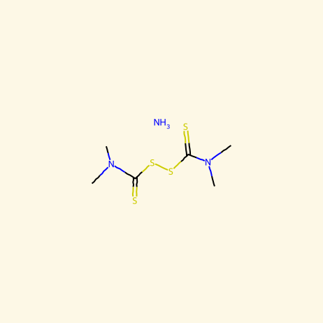 CN(C)C(=S)SSC(=S)N(C)C.N